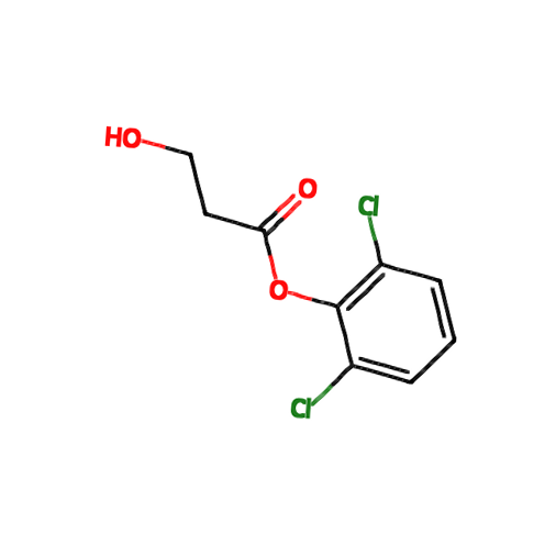 O=C(CCO)Oc1c(Cl)cccc1Cl